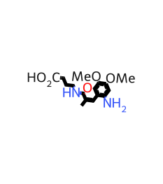 COc1cc(N)c(C=C(C)C(=O)NCCCC(=O)O)cc1OC